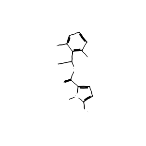 CC(NC(=O)c1ccc(C#N)n1C)c1c(F)cccc1Cl